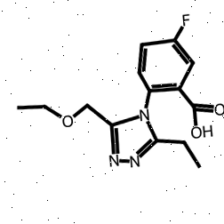 CCOCc1nnc(CC)n1-c1ccc(F)cc1C(=O)O